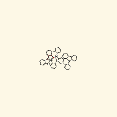 c1ccc(N(c2ccc(-c3ccccc3-n3c4ccccc4c4ccccc43)cc2)c2ccc3c(c2)oc2ccccc23)c(-c2cccc3oc4c5ccccc5ccc4c23)c1